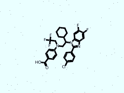 O=C(O)c1ccc(N(CC(C2CCCCC2)n2c(-c3ccc(Cl)cc3)nc3cc(F)c(F)cc32)CC(F)(F)F)cc1